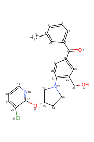 Cc1cccc(C(=O)c2ccc(N3CC[C@H](Oc4ncccc4Cl)C3)c(CO)c2)c1